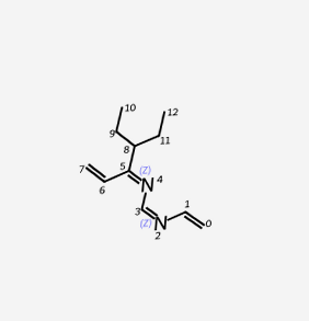 C=C/N=C\N=C(/C=C)C(CC)CC